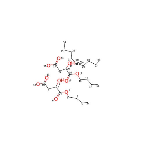 CCCCOC(=O)C(O)CC(=O)[O-].CCCCOC(=O)C(O)CC(=O)[O-].CCC[CH2][Sn+2][CH2]CCC